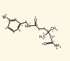 CC(C)(CCC(=O)NCc1cccc(Br)c1)OC(N)=O